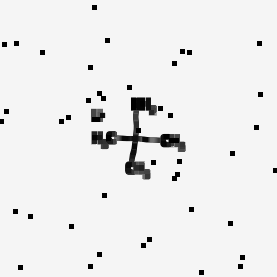 CC(C)(C)N.[Li]